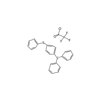 O=C([O-])C(F)(F)F.c1ccc(Sc2ccc([S+](c3ccccc3)c3ccccc3)cc2)cc1